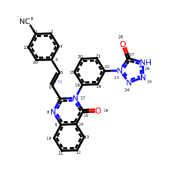 N#Cc1ccc(/C=C/c2nc3ccccc3c(=O)n2-c2cccc(-n3nn[nH]c3=O)c2)cc1